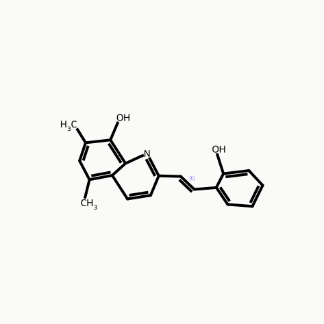 Cc1cc(C)c2ccc(/C=C/c3ccccc3O)nc2c1O